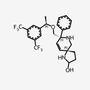 C[C@@H](OC[C@@]1(c2ccccc2)C=C[C@]2(CCC(O)N2)CN1)c1cc(C(F)(F)F)cc(C(F)(F)F)c1